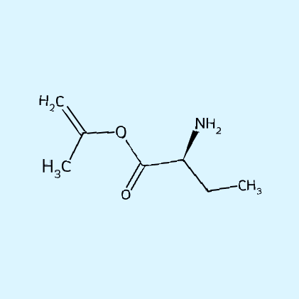 C=C(C)OC(=O)[C@@H](N)CC